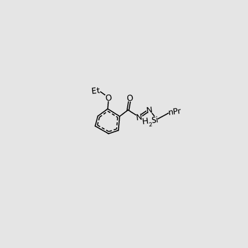 CCC[SiH2]N=NC(=O)c1ccccc1OCC